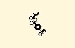 CC[C@H](C)C(=O)OC(=O)c1ccc([N+](=O)[O-])cc1